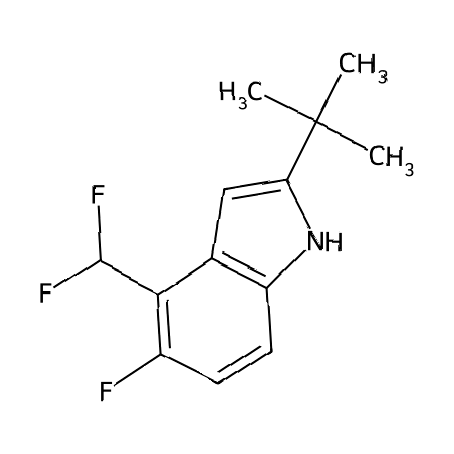 CC(C)(C)c1cc2c(C(F)F)c(F)ccc2[nH]1